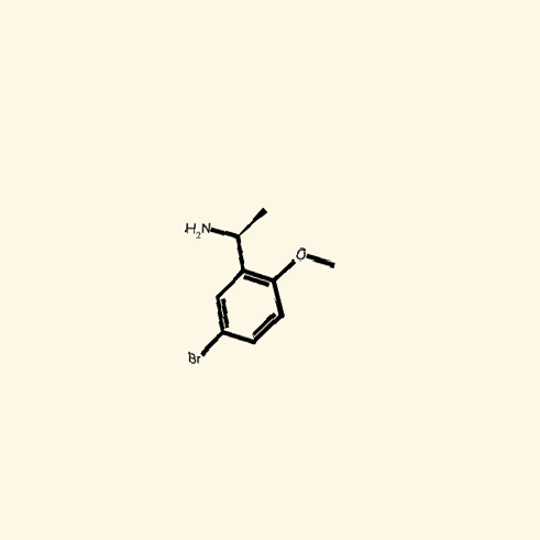 COc1ccc(Br)cc1[C@H](C)N